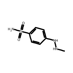 CNNc1ccc(S(N)(=O)=O)cc1